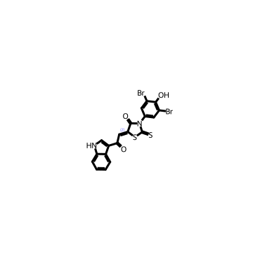 O=C(/C=C1\SC(=S)N(c2cc(Br)c(O)c(Br)c2)C1=O)c1c[nH]c2ccccc12